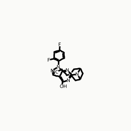 N#CCCN1CC2CC(C1)N2c1nc(O)c2cnn(-c3ccc(F)cc3F)c2n1